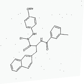 CCN(Nc1ccc(OC)cc1)C(=O)C(Cc1ccc2ccccc2c1)NC(=O)c1cccc(C)c1